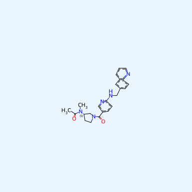 CC(=O)N(C)[C@H]1CCN(C(=O)c2ccc(NCc3ccc4ncccc4c3)nc2)C1